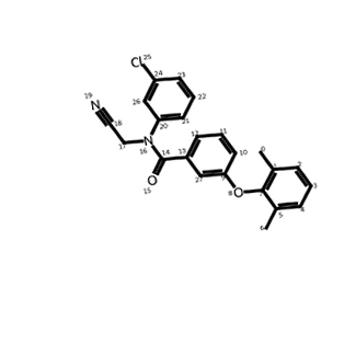 Cc1cccc(C)c1Oc1cccc(C(=O)N(CC#N)c2cccc(Cl)c2)c1